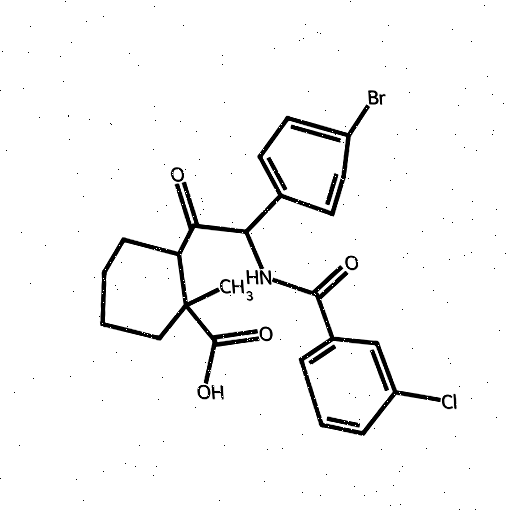 CC1(C(=O)O)CCCCC1C(=O)C(NC(=O)c1cccc(Cl)c1)c1ccc(Br)cc1